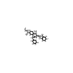 CCNC(=O)c1ccc(NC(=N)NCc2ccccc2C)c(OCc2ccccc2)c1